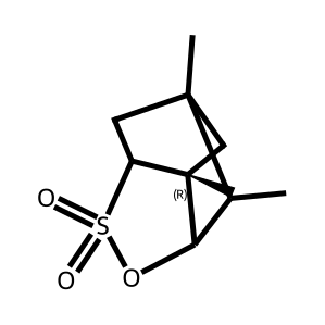 CC1C2OS(=O)(=O)C3CC1(C)C[C@]23C